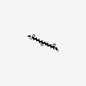 CCOC(=O)CCCCCCC(=O)CCCCCCC(=O)OCC